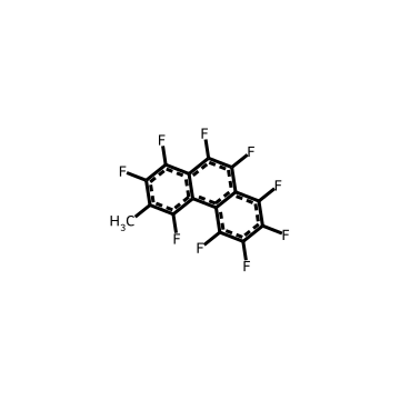 Cc1c(F)c(F)c2c(F)c(F)c3c(F)c(F)c(F)c(F)c3c2c1F